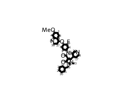 COc1ccc2c(Oc3ccc(NC(=O)c4c(-c5ccncc5)n(C)n(Cc5ccccc5)c4=O)cc3F)ccnc2c1